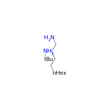 CC(C)(C)N.CCCCCCCCCCN